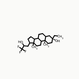 CC[C@]1(O)CC[C@@]2(C)C(CCC3C4CCC(CC(O)C(F)(F)F)C4(C)CCC32)C1